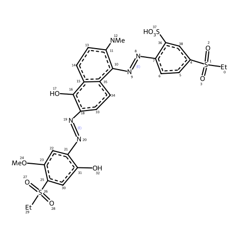 CCS(=O)(=O)c1ccc(/N=N/c2c(NC)ccc3c(O)c(/N=N/c4cc(OC)c(S(=O)(=O)CC)cc4O)ccc23)c(S(=O)(=O)O)c1